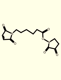 O=C(CCCCCN1C(=O)C=CC1=O)ON1CCC(=O)C1=O